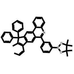 C/C=C\C1=C(C)C(c2ccccc2)(c2ccccc2)c2cc3c(cc21)c(-c1cccc(B2OC(C)(C)C(C)(C)O2)c1)nc1ccccc13